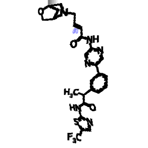 CC(C(=O)Nc1ncc(C(F)(F)F)s1)c1cccc(-c2cnc(NC(=O)/C=C/CN3CC4CC3CO4)cn2)c1